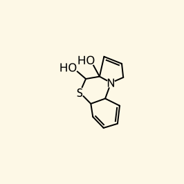 OC1SC2C=CC=CC2N2CC=CC12O